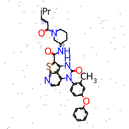 Cc1cc(Oc2ccccc2)ccc1N1C(=O)Nc2c(C(=O)N[C@@H]3CCCN(C(=O)/C=C/C(C)C)C3)sc3nccc1c23